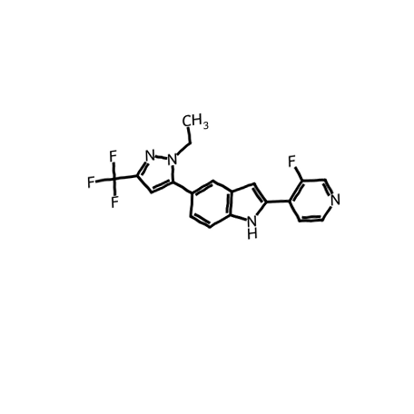 CCn1nc(C(F)(F)F)cc1-c1ccc2[nH]c(-c3ccncc3F)cc2c1